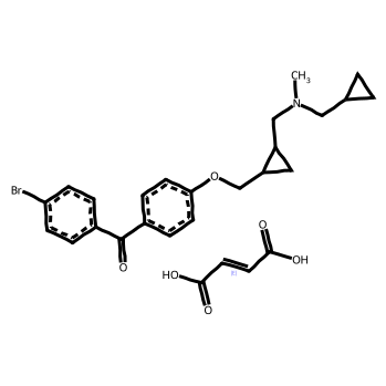 CN(CC1CC1)CC1CC1COc1ccc(C(=O)c2ccc(Br)cc2)cc1.O=C(O)/C=C/C(=O)O